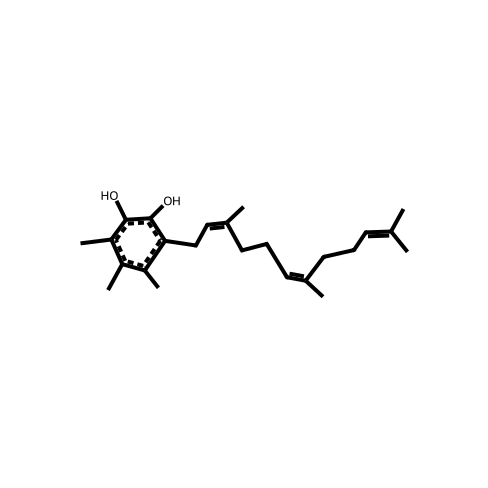 CC(C)=CCCC(C)=CCCC(C)=CCc1c(C)c(C)c(C)c(O)c1O